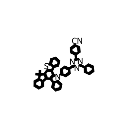 CC1(C)c2ccccc2-c2c1c1sc3ccccc3c1c1c2c2ccccc2n1-c1ccc(-c2nc(-c3ccccc3)nc(-c3ccc(C#N)cc3)n2)cc1